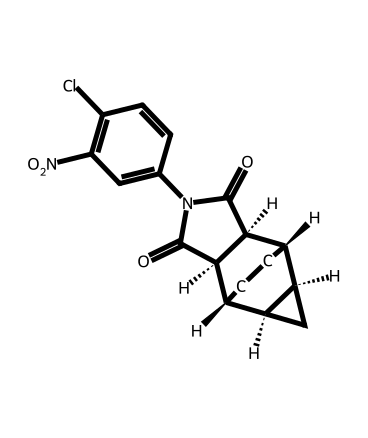 O=C1[C@@H]2[C@@H]3CC[C@@H]([C@H]4C[C@H]43)[C@@H]2C(=O)N1c1ccc(Cl)c([N+](=O)[O-])c1